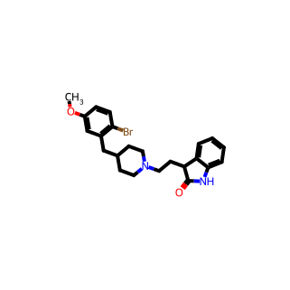 COc1ccc(Br)c(CC2CCN(CCC3C(=O)Nc4ccccc43)CC2)c1